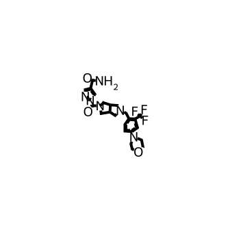 NC(=O)c1cnn(C(=O)N2CC3CN(Cc4ccc(N5CCOCC5)cc4C(F)(F)F)CC3C2)c1